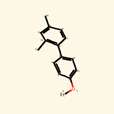 CCOc1ccc(-c2ccc(C)cc2C)cc1